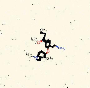 CCCC(OC)c1ccc(CCN)c(Oc2ccc3c(ccn3C)c2C)c1